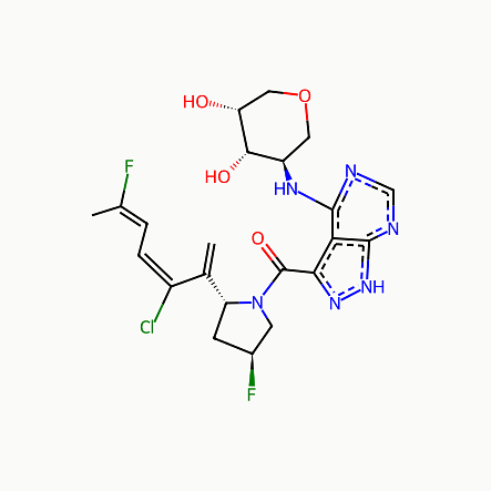 C=C(/C(Cl)=C\C=C(/C)F)[C@H]1C[C@H](F)CN1C(=O)c1n[nH]c2ncnc(N[C@@H]3COC[C@@H](O)[C@H]3O)c12